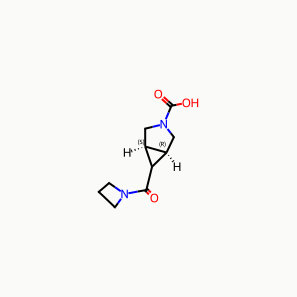 O=C(O)N1C[C@@H]2C(C(=O)N3CCC3)[C@@H]2C1